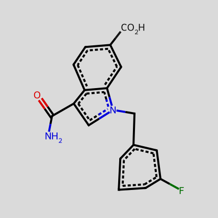 NC(=O)c1cn(Cc2cccc(F)c2)c2cc(C(=O)O)ccc12